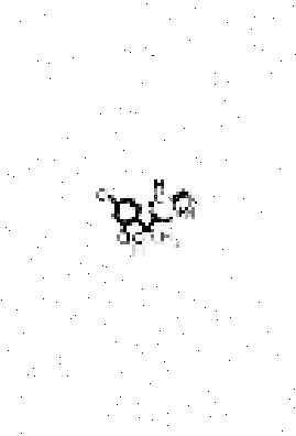 CSC(Cn1ccnn1)C(C)(O)c1ccc(Cl)cc1Cl